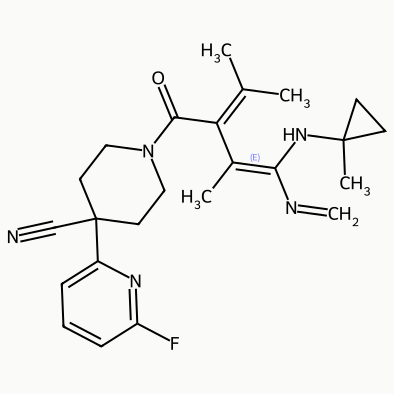 C=N/C(NC1(C)CC1)=C(\C)C(C(=O)N1CCC(C#N)(c2cccc(F)n2)CC1)=C(C)C